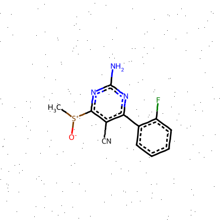 C[S+]([O-])c1nc(N)nc(-c2ccccc2F)c1C#N